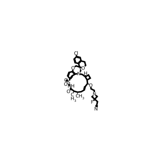 C[C@H]1C/C=C/[C@H](OCCN2CC(F)(CC#N)C2)C2CC[C@H]2CN2C[C@]3(COc4ccc(cc42)S(=O)(=O)NC(=O)[C@@H]1C)OCCc1cc(Cl)ccc13